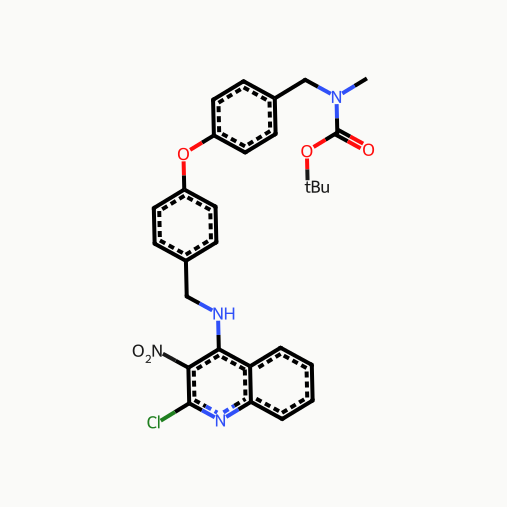 CN(Cc1ccc(Oc2ccc(CNc3c([N+](=O)[O-])c(Cl)nc4ccccc34)cc2)cc1)C(=O)OC(C)(C)C